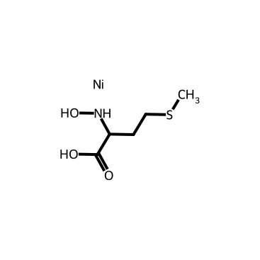 CSCCC(NO)C(=O)O.[Ni]